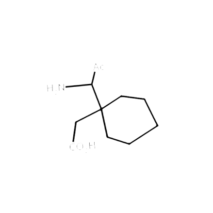 CC(=O)C(N)C1(CC(=O)O)CCCCC1